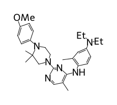 CCN(CC)c1ccc(Nc2nc(N3CCN(c4ccc(OC)cc4)C(C)(C)C3)ncc2C)c(C)c1